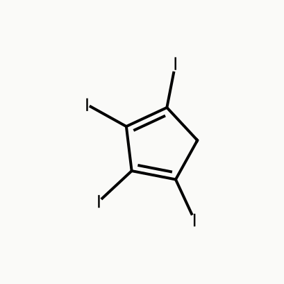 IC1=C(I)C(I)=C(I)C1